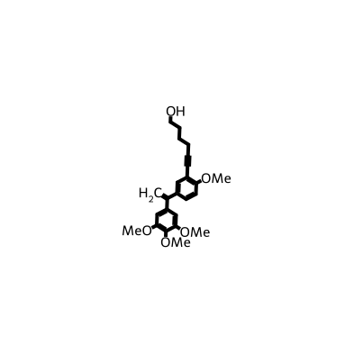 C=C(c1ccc(OC)c(C#CCCCCO)c1)c1cc(OC)c(OC)c(OC)c1